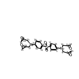 O=S(=O)(c1ccc(N(CC2CO2)CC2CO2)cc1)c1ccc(N(CC2CO2)CC2CO2)cc1